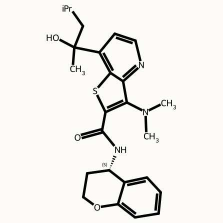 CC(C)CC(C)(O)c1ccnc2c(N(C)C)c(C(=O)N[C@H]3CCOc4ccccc43)sc12